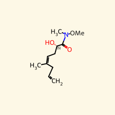 C=CCC(C)=CC[C@H](O)C(=O)N(C)OC